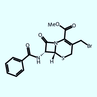 COC(=O)C1=C(CBr)CS[C@@H]2[C@H](NC(=O)c3ccccc3)C(=O)N12